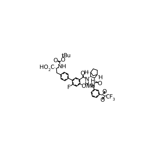 COc1cc(F)c(-c2ccc(C[C@@H](NC(=O)OC(C)(C)C)C(=O)O)cc2)cc1C(=O)N[C@@H]1[C@H]2CC[C@H](C2)[C@@H]1C(=O)Nc1cccc(S(=O)(=O)C(F)(F)F)c1